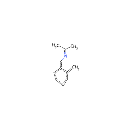 C=c1cccc/c1=C/N=C(C)C